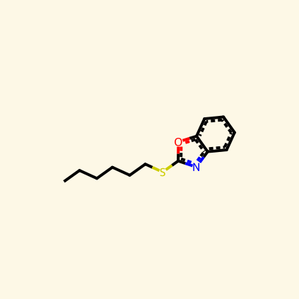 CCCCCCSc1nc2ccccc2o1